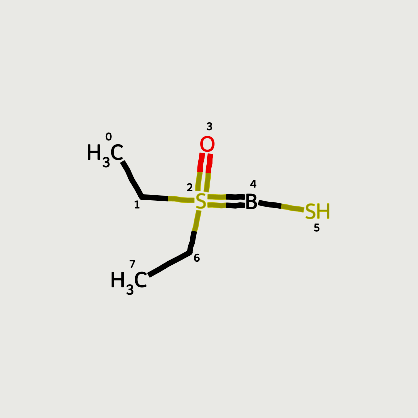 CCS(=O)(=BS)CC